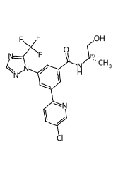 C[C@@H](CO)NC(=O)c1cc(-c2ccc(Cl)cn2)cc(-n2ncnc2C(F)(F)F)c1